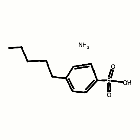 CCCCCc1ccc(S(=O)(=O)O)cc1.N